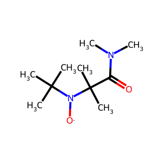 CN(C)C(=O)C(C)(C)N([O])C(C)(C)C